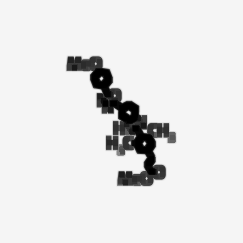 COC(=O)C=Cc1cc(C)c(-c2nc3ccc(-c4nnc(-c5ccc(OC)cc5)o4)cc3[nH]2)c(C)c1